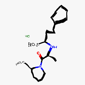 CCOC(=O)C(CCc1ccccc1)N[C@@H](C)C(=O)N1CCC[C@H]1C(=O)O.Cl